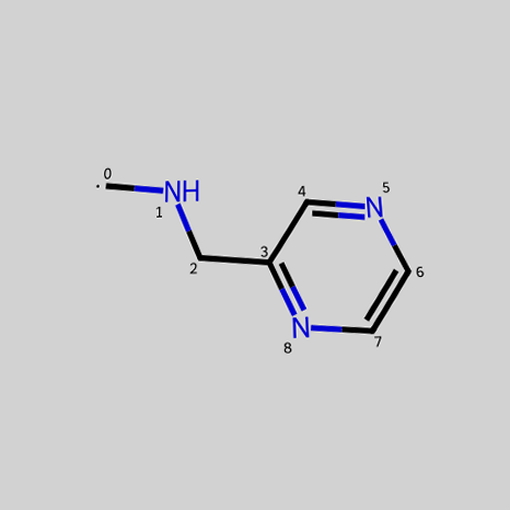 [CH2]NCc1cnccn1